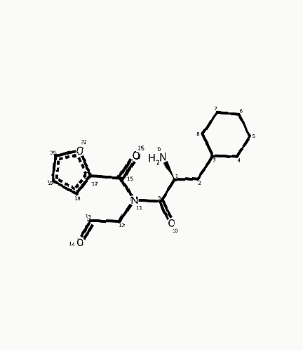 N[C@@H](CC1CCCCC1)C(=O)N(C[C]=O)C(=O)c1ccco1